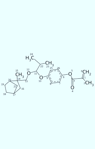 C=C(C)C(=O)Oc1ccc(OC(OCC2(C)CC3CCC2C3)C(C)C)cc1